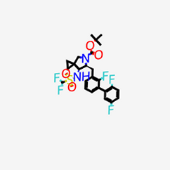 CC(C)(C)OC(=O)N1CC2(CC2)[C@H](NS(=O)(=O)C(F)F)[C@@H]1Cc1cccc(-c2cc(F)ccc2F)c1F